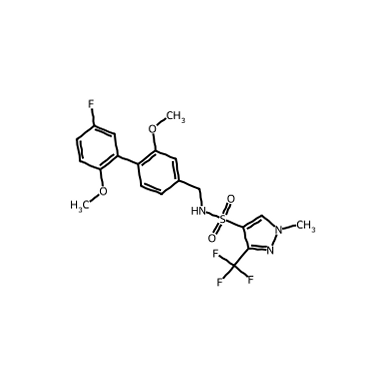 COc1cc(CNS(=O)(=O)c2cn(C)nc2C(F)(F)F)ccc1-c1cc(F)ccc1OC